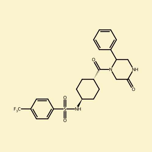 O=C1CN(C(=O)[C@H]2CC[C@H](NS(=O)(=O)c3ccc(C(F)(F)F)cc3)CC2)C(c2ccccc2)CN1